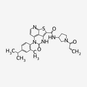 C=CC(=O)N1CCC(NC(=O)c2sc3nccc4c3c2NC(=O)N4c2ccc(C(C)C)cc2C)C1